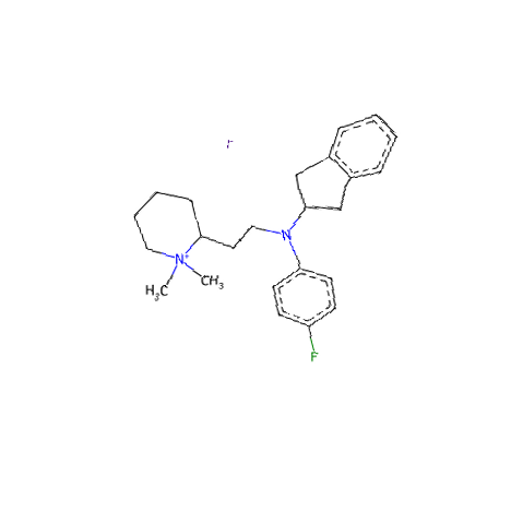 C[N+]1(C)CCCCC1CCN(c1ccc(F)cc1)C1Cc2ccccc2C1.[I-]